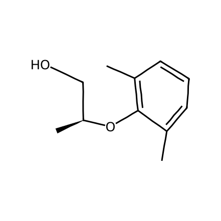 Cc1cccc(C)c1O[C@@H](C)CO